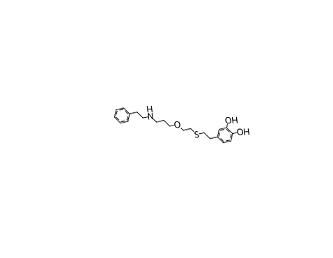 Oc1ccc(CCSCCOCCCNCCc2ccccc2)cc1O